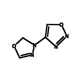 C1=NN(c2conn2)CO1